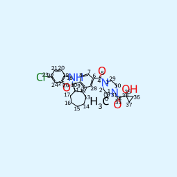 C[C@H]1CN(C(=O)c2ccc(C3(C4CCCCCC4)Nc4ccc(Cl)cc4O3)cc2)CCN1C(=O)C1(O)CC1